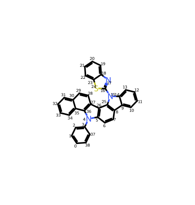 c1ccc(-n2c3ccc4c5ccccc5n(-c5nc6ccccc6s5)c4c3c3ccc4ccccc4c32)cc1